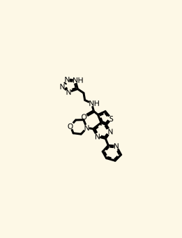 O=C(NCCc1nnn[nH]1)c1csc2nc(-c3ccccn3)nc(N3CCOCC3)c12